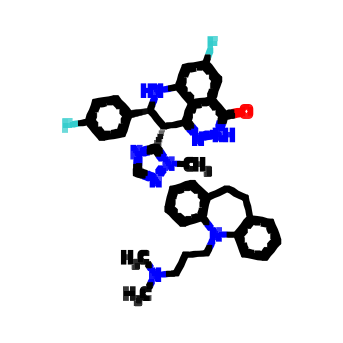 CN(C)CCCN1c2ccccc2CCc2ccccc21.Cn1ncnc1[C@H]1c2n[nH]c(=O)c3cc(F)cc(c23)N[C@@H]1c1ccc(F)cc1